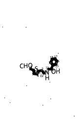 C[C@H](Cc1ccc(CC=O)s1)NC[C@@H](O)c1ccccc1